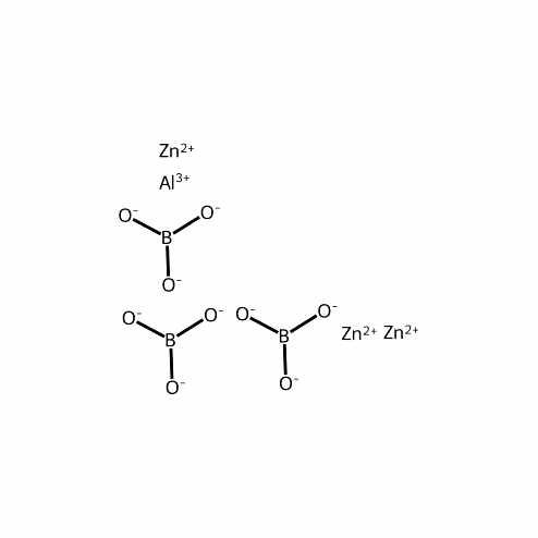 [Al+3].[O-]B([O-])[O-].[O-]B([O-])[O-].[O-]B([O-])[O-].[Zn+2].[Zn+2].[Zn+2]